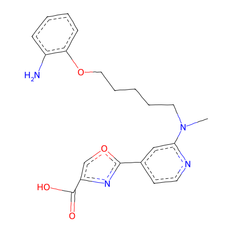 CN(CCCCCOc1ccccc1N)c1cc(-c2nc(C(=O)O)co2)ccn1